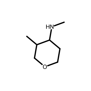 CNC1CCOCC1C